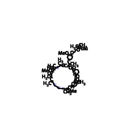 CO[C@H]1C[C@@H]2CC[C@@H](C)[C@@](O)(O2)C(=O)C(=O)N2CCCC[C@H]2C(=O)O[C@H]([C@H](C)C[C@@H]2CC[C@@H](OCCO[Si](C)(C)C(C)(C)C)[C@H](OC)C2)CC[C@H](C)/C=C(\C)[C@@H](O)[C@@H](OC)C(=O)[C@H](C)C[C@H](C)/C=C/C=C/C=C/1C